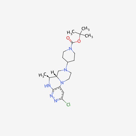 C[C@@H]1Nc2nnc(Cl)cc2N2CCN(C3CCN(C(=O)OC(C)(C)C)CC3)C[C@@H]12